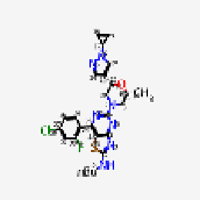 CCCCNc1nc2nc(N3C[C@@H](C)O[C@@H](c4cnn(C5CC5)c4)C3)nc(-c3ccc(Cl)cc3F)c2s1